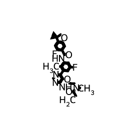 C=CC(=O)N(C)CCOc1c(N)ncnc1-c1cc(F)cc(NC(=O)c2cc3c(cc2F)C2(CC2)CO3)c1C